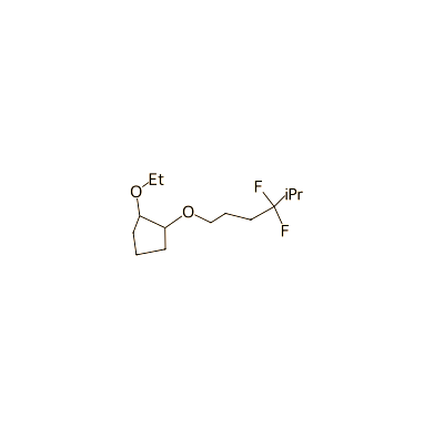 CCOC1CCCC1OCCCC(F)(F)C(C)C